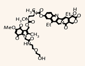 CCc1c2c(nc3ccc(OC(=O)N(C)CCN(C)C(=O)OCc4c5c(n(CC(=O)NCCOCCO)c4C)C(=O)C=C(OC)C5=O)cc13)-c1cc3c(c(=O)n1C2)COC(=O)[C@@]3(O)CC